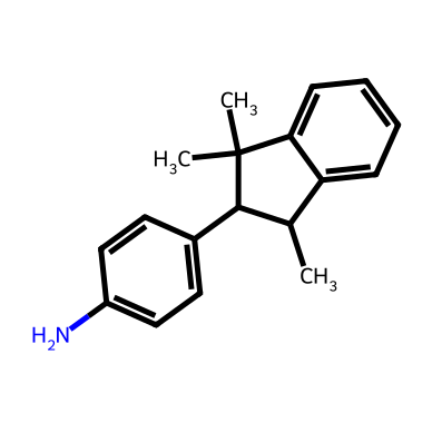 CC1c2ccccc2C(C)(C)C1c1ccc(N)cc1